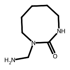 NCN1CCCCCNC1=O